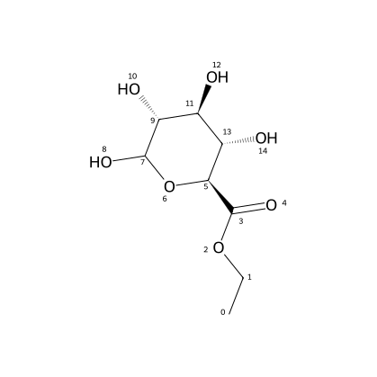 CCOC(=O)[C@H]1OC(O)[C@H](O)[C@@H](O)[C@@H]1O